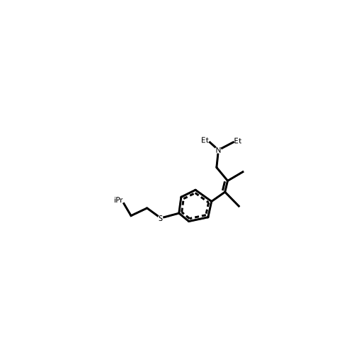 CCN(CC)CC(C)=C(C)c1ccc(SCCC(C)C)cc1